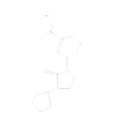 CC(C)(C)OC(=O)N1CCCC(N2CCN(C3CCCC3)C2=O)C1